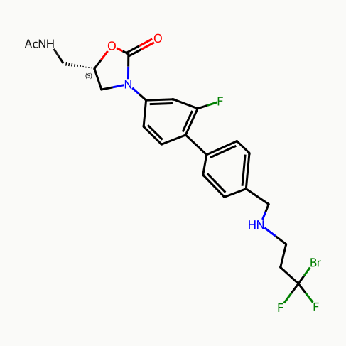 CC(=O)NC[C@H]1CN(c2ccc(-c3ccc(CNCCC(F)(F)Br)cc3)c(F)c2)C(=O)O1